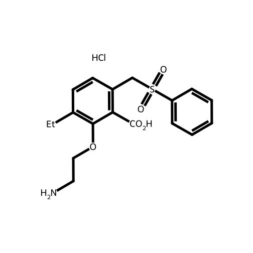 CCc1ccc(CS(=O)(=O)c2ccccc2)c(C(=O)O)c1OCCN.Cl